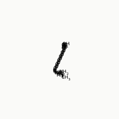 CCCNC(=O)C1=Cc2sc(CN3CCC4(CC3)CCN(CCOCCOCCOCCOCCOCCOCCOCCOCCOCCOCCC(=O)Oc3c(F)c(F)c(S(=O)(=O)O)c(F)c3F)C4)cc2N=C(N)C1